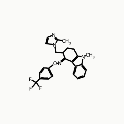 Cc1nccn1CC1CCc2c(c3ccccc3n2C)C1=NOc1ccc(C(F)(F)F)cc1